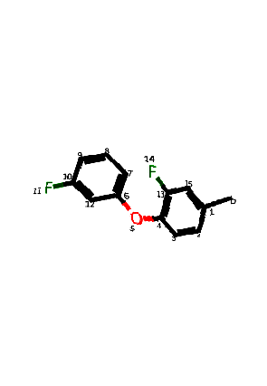 Cc1ccc(Oc2cccc(F)c2)c(F)c1